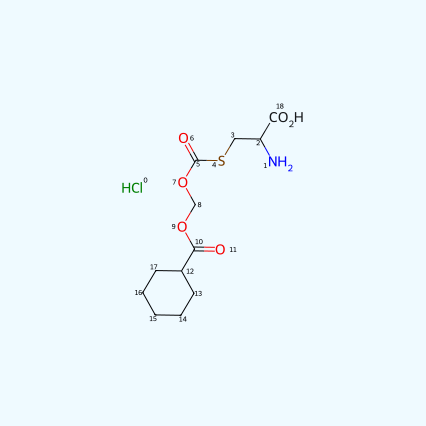 Cl.NC(CSC(=O)OCOC(=O)C1CCCCC1)C(=O)O